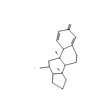 CC(=O)[C@H]1CC[C@H]2[C@@H]3CCC4=CC(=O)C=C[C@]4(C)[C@H]3CC(O)[C@]12C